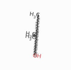 CCCCCCCCCCCCCCCCC(CCCCCCCCCCCCCCO)C(C)C